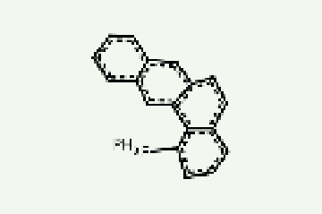 Fc1cccc2ccc3cc4ccccc4cc3c12.P